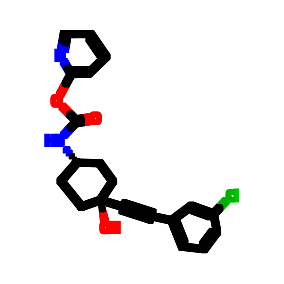 O=C(N[C@H]1CC[C@@](O)(C#Cc2cccc(Cl)c2)CC1)Oc1ccccn1